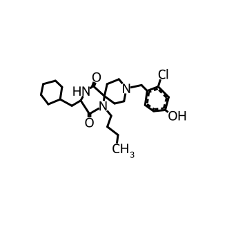 CCCCN1C(=O)C(CC2CCCCC2)NC(=O)C12CCN(Cc1ccc(O)cc1Cl)CC2